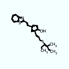 C=C/C(C)=C(\CC)SC/C=C/c1cc(/C=C/c2nc3ccccc3s2)ccc1O